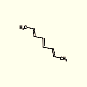 C/C=C/C=C/C=C/C